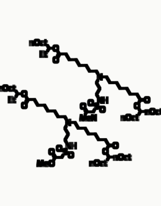 CCCCCCCCC(CC)OC(=O)CCCCCCCN(CCCCCCCC(=O)OC(CCCCCCCC)CCCCCCCC)CCCNS(=O)(=O)CC(=O)NC.CCCCCCCCC(CC)OC(=O)CCCCCCCN(CCCCCCCC(=O)OC(CCCCCCCC)CCCCCCCC)CCCNS(=O)(=O)CC(=O)OC